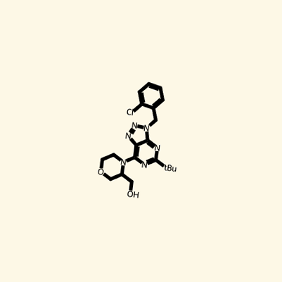 CC(C)(C)c1nc(N2CCOCC2CO)c2nnn(Cc3ccccc3Cl)c2n1